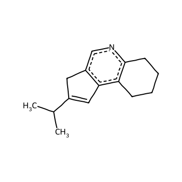 CC(C)C1=Cc2c(cnc3c2CCCC3)C1